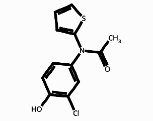 CC(=O)N(c1ccc(O)c(Cl)c1)c1cccs1